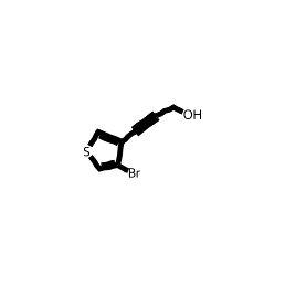 OCC#Cc1cscc1Br